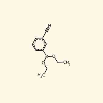 CCOB(OCC)c1cccc(C#N)c1